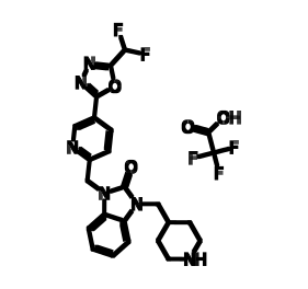 O=C(O)C(F)(F)F.O=c1n(Cc2ccc(-c3nnc(C(F)F)o3)cn2)c2ccccc2n1CC1CCNCC1